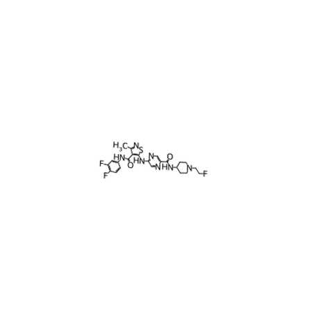 Cc1nsc(Nc2cnc(C(=O)NC3CCN(CCF)CC3)cn2)c1C(=O)Nc1ccc(F)c(F)c1